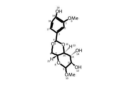 COc1cc(C2OC[C@H]3OC(OC)[C@H](O)[C@@H](O)[C@@H]3O2)ccc1O